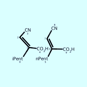 CCCC(C)C(=CC#N)C(=O)O.CCCCCC(=CC#N)C(=O)O